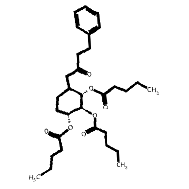 CCCCC(=O)O[C@H]1[C@H](OC(=O)CCCC)CCC(CC(=O)CCc2ccccc2)[C@@H]1OC(=O)CCCC